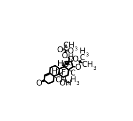 CC1(C)O[C@@H]2C[C@H]3[C@@H]4CCC5=CC(=O)CC[C@]5(C)[C@@]4(F)[C@@H](O)C[C@]3(C)[C@]2(C(=O)COS(C)(=O)=O)O1